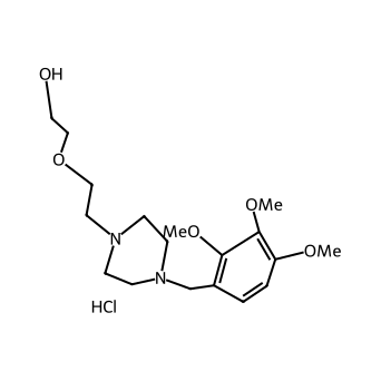 COc1ccc(CN2CCN(CCOCCO)CC2)c(OC)c1OC.Cl